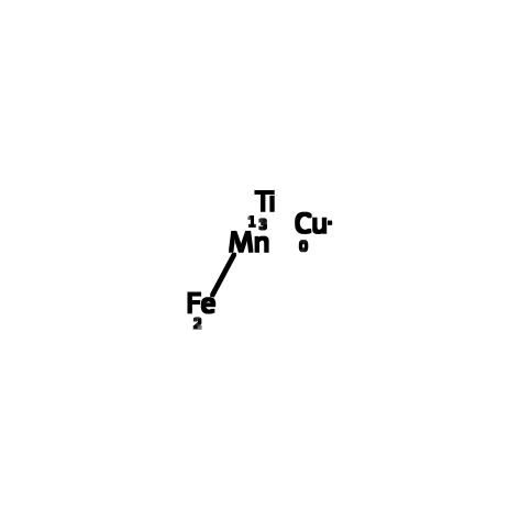 [Cu].[Mn][Fe].[Ti]